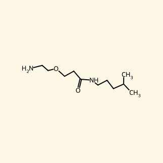 CC(C)CCCNC(=O)CCOCCN